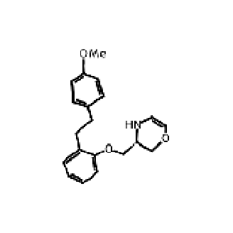 COc1ccc(CCc2ccccc2OC[C@@H]2COC=CN2)cc1